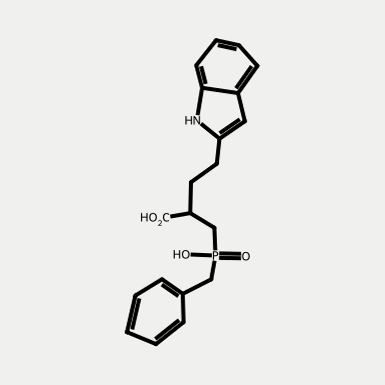 O=C(O)C(CCc1cc2ccccc2[nH]1)CP(=O)(O)Cc1ccccc1